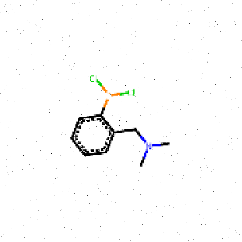 CN(C)Cc1ccccc1P(Cl)Cl